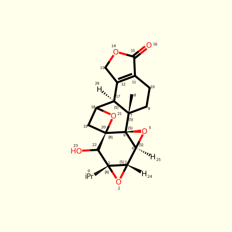 CC(C)[C@]12O[C@H]1[C@@H]1O[C@@]13[C@@]1(C)CCC4=C(COC4=O)[C@@H]1C1C[C@@]3(O1)C2O